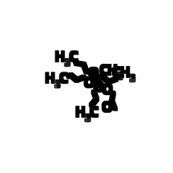 CCCCO[Si](OCCCC)(OCCCC)C(C)C(CC)OCC1CO1